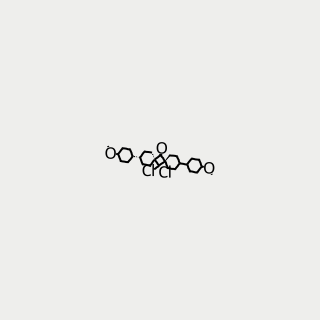 COC1CCC(C2CC[C@]3(CC2)C(=O)[C@@]2(CC[C@@H](C4CCC(OC)CC4)CC2)C3(Cl)Cl)CC1